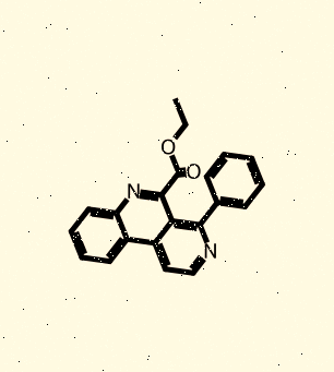 CCOC(=O)c1nc2ccccc2c2ccnc(-c3ccccc3)c12